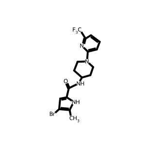 Cc1[nH]c(C(=O)NC2CCN(c3cccc(C(F)(F)F)n3)CC2)cc1Br